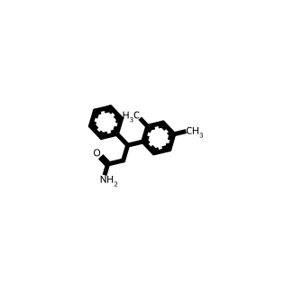 Cc1ccc(C(CC(N)=O)c2ccccc2)c(C)c1